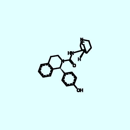 O=C(N[C@@H]1CN2CCC1CC2)N1CCc2ccccc2[C@H]1c1ccc(O)cc1